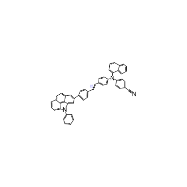 N#Cc1ccc(N(c2ccc(/C=C/c3ccc(-c4cc5ccc6cccc7c6c5c(c4)n7-c4ccccc4)cc3)cc2)c2cccc3ccccc23)cc1